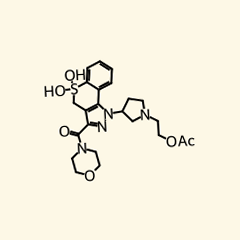 CC(=O)OCCN1CCC(n2nc(C(=O)N3CCOCC3)c3c2-c2ccccc2S(O)(O)C3)C1